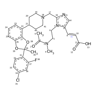 CC(=O)N(C)CCn1c(/C=C/C(=O)O)cnc1CN1CCC(c2cccc3c2OC(C)(c2ccc(Cl)cc2F)O3)CC1